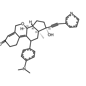 CN(C)c1ccc(C2C[C@@]3(C)[C@@H](CC[C@@]3(O)C#Cc3cccnc3)[C@@H]3OCC4=CC(=O)CCC4=C23)cc1